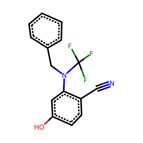 N#Cc1ccc(O)cc1N(Cc1ccccc1)C(F)(F)F